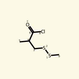 CSSCC(C)C(=O)Cl